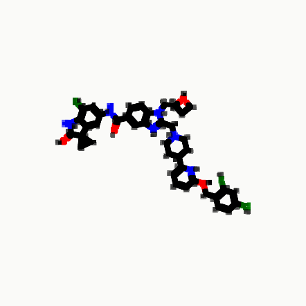 O=C(Nc1cc(F)c2c(c1)C1(CC1)C(=O)N2)c1ccc2c(c1)nc(CN1CCC(c3cccc(OCc4ccc(Cl)cc4F)n3)CC1)n2C[C@@H]1CCO1